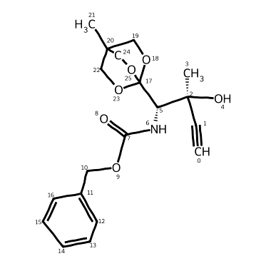 C#C[C@](C)(O)[C@H](NC(=O)OCc1ccccc1)C12OCC(C)(CO1)CO2